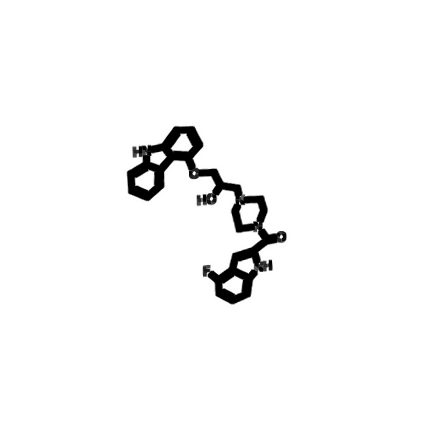 O=C(c1cc2c(F)cccc2[nH]1)N1CCN(CC(O)COc2cccc3[nH]c4ccccc4c23)CC1